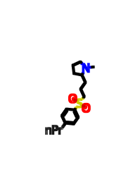 CCCc1ccc(S(=O)(=O)CCCC2CCCN2C)cc1